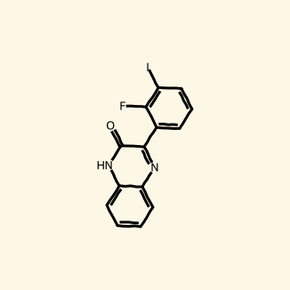 O=c1[nH]c2ccccc2nc1-c1cccc(I)c1F